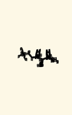 C[N+](C)(C)CCNC(=S)NN